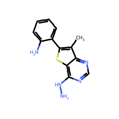 Cc1c(-c2ccccc2N)sc2c(NN)ncnc12